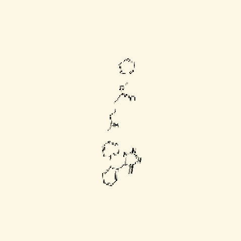 O=C(CCCNCc1ccc(-c2ccccc2-c2nnn[nH]2)cc1)OCc1ccccc1